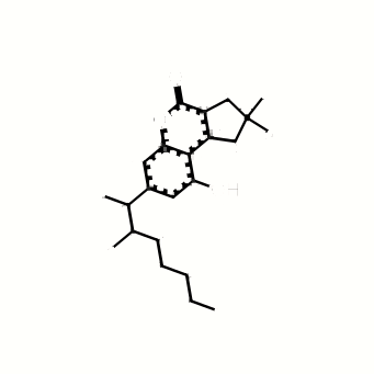 CCCCCC(C)C(C)c1cc(O)c2c3c(c(=O)oc2c1)CC(C)(C)C3